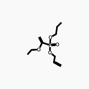 C=CCOP(=O)(OCCC)C(=C)OCC